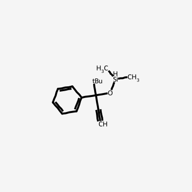 C#CC(O[SiH](C)C)(c1ccccc1)C(C)(C)C